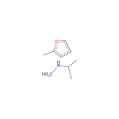 CC(I)NC(=O)O.Cc1ccco1